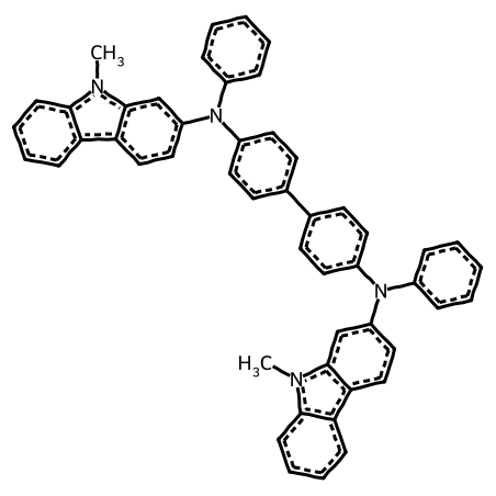 Cn1c2ccccc2c2ccc(N(c3ccccc3)c3ccc(-c4ccc(N(c5ccccc5)c5ccc6c7ccccc7n(C)c6c5)cc4)cc3)cc21